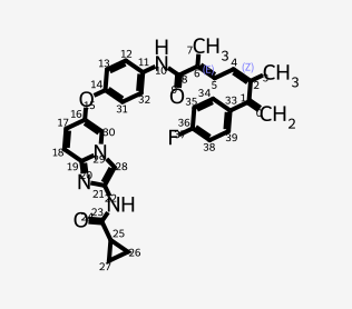 C=C(/C(C)=C\C=C(/C)C(=O)Nc1ccc(Oc2ccc3nc(NC(=O)C4CC4)cn3c2)cc1)c1ccc(F)cc1